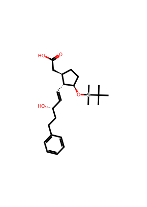 CC(C)(C)[Si](C)(C)O[C@@H]1CC[C@H](CC(=O)O)[C@H]1/C=C/[C@@H](O)CCc1ccccc1